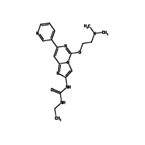 CCNC(=O)Nc1cn2c(OCCN(C)C)nc(-c3cccnc3)cc2n1